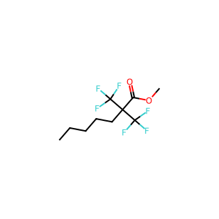 CCCCCC(C(=O)OC)(C(F)(F)F)C(F)(F)F